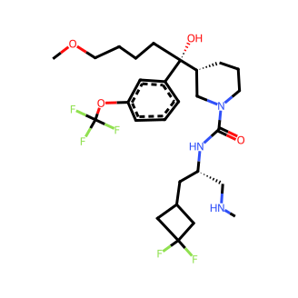 CNC[C@H](CC1CC(F)(F)C1)NC(=O)N1CCC[C@@H]([C@](O)(CCCCOC)c2cccc(OC(F)(F)F)c2)C1